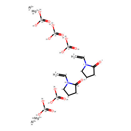 C=CN1CCCC1=O.C=CN1CCCC1=O.O=[Si]([O-])[O-].O=[Si]([O-])[O-].O=[Si]([O-])[O-].O=[Si]([O-])[O-].O=[Si]([O-])[O-].[Al+3].[Al+3].[Mg+2].[Mg+2]